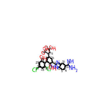 N=C(N)c1ccc2[nH]c(-c3cc(C(CC(=O)O)C(=O)O)cc(-c4c(O)cc(Cl)cc4Cl)c3O)nc2c1